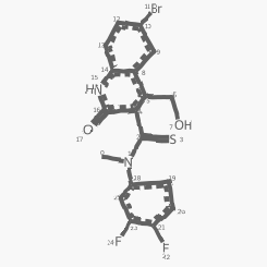 CN(C(=S)c1c(CO)c2cc(Br)ccc2[nH]c1=O)c1ccc(F)c(F)c1